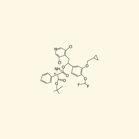 CC(C)(C)OC(=O)[C@](N)(C(=O)OC(Cc1c(Cl)cncc1Cl)c1ccc(OC(F)F)c(OCC2CC2)c1)c1ccccc1